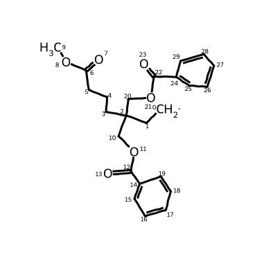 [CH2]CC(CCCC(=O)OC)(COC(=O)c1ccccc1)COC(=O)c1ccccc1